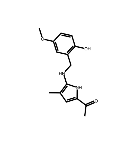 COc1ccc(O)c(CNc2[nH]c(C(C)=O)cc2C)c1